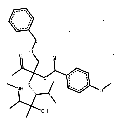 CNC(C)C(C)(O)[C@H](CC(COCc1ccccc1)(SC(S)c1ccc(OC)cc1)C(C)=O)C(C)C